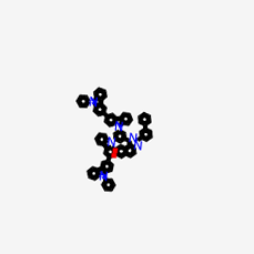 c1ccc(-c2cccc(-c3nc(-c4cc(-n5c6ccccc6c6cc(-c7ccc8c(c7)c7ccccc7n8-c7ccccc7)ccc65)cc(-n5c6ccccc6c6cc(-c7ccc8c(c7)c7ccccc7n8-c7ccccc7)ccc65)c4)c4c(ccc5ccccc54)n3)c2)cc1